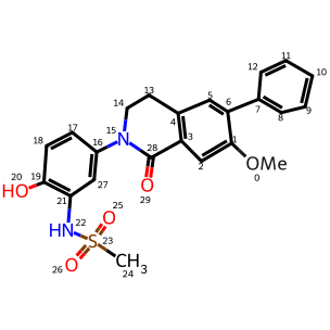 COc1cc2c(cc1-c1ccccc1)CCN(c1ccc(O)c(NS(C)(=O)=O)c1)C2=O